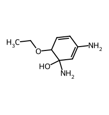 CCOC1C=CC(N)=CC1(N)O